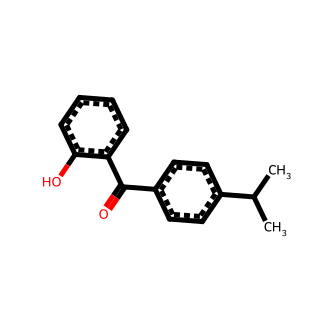 CC(C)c1ccc(C(=O)c2ccccc2O)cc1